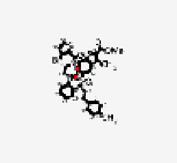 COC(=O)c1sc2ccc(S(=O)(=O)N(CCc3ccc(C)cc3)c3ccccc3N3CCN(C(=O)c4sccc4Br)CC3)cc2c1C